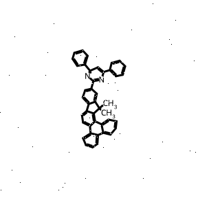 CC1(C)c2cc(-c3nc(-c4ccccc4)cc(-c4ccccc4)n3)ccc2-c2ccc3c4ccccc4c4ccccc4c3c21